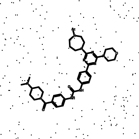 CC(=O)N1CCCN(c2nc(-c3ccc(NC(=O)Nc4ccc(C(=O)N5CCC(N(C)C)CC5)cc4)cc3)nc(N3CCOCC3)n2)CC1